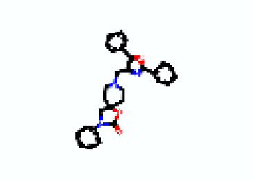 O=C1OC2(CCN(Cc3nc(-c4ccccc4)oc3-c3ccccc3)CC2)CN1c1ccccc1